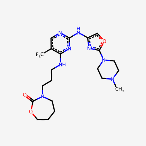 CN1CCN(c2nc(Nc3ncc(C(F)(F)F)c(NCCCN4CCCCOC4=O)n3)co2)CC1